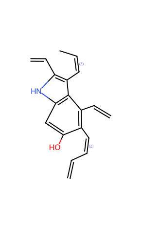 C=C/C=C\c1c(O)cc2[nH]c(C=C)c(/C=C\C)c2c1C=C